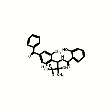 Cc1cc(C(=O)c2ccccc2)cc(C)c1C(NC(=O)c1ccccc1O)C(C)(O)C(F)(F)F